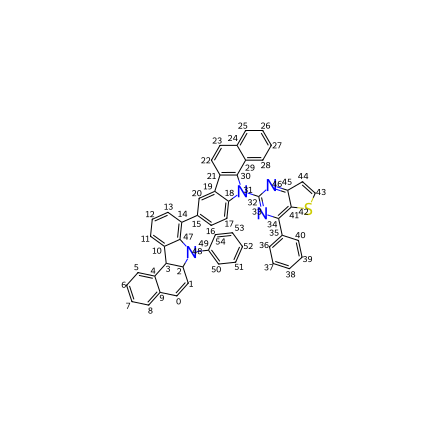 C1=CC2C(c3ccccc31)c1cccc(-c3ccc4c(c3)c3ccc5ccccc5c3n4-c3nc(-c4ccccc4)c4sccc4n3)c1N2c1ccccc1